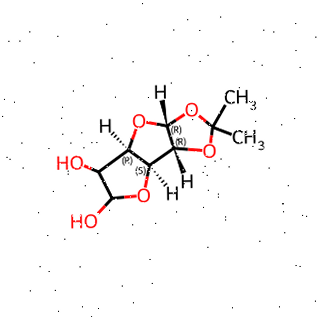 CC1(C)O[C@H]2O[C@@H]3C(O)C(O)O[C@@H]3[C@H]2O1